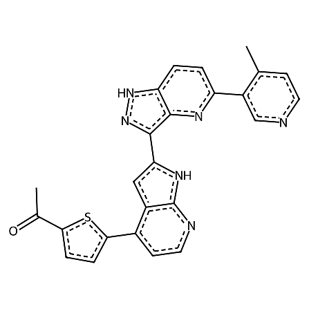 CC(=O)c1ccc(-c2ccnc3[nH]c(-c4n[nH]c5ccc(-c6cnccc6C)nc45)cc23)s1